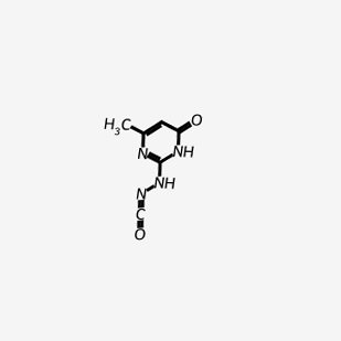 Cc1cc(=O)[nH]c(NN=C=O)n1